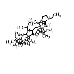 CCN1CCN(CC)C1NN([Si](C)(C)C)[Si](C)(C)CC1CN(C(C)C)C(NN([Si](C)(C)C)[Si](C)(C)C)N1C(C)C